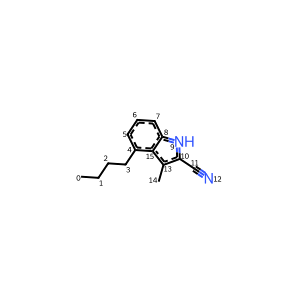 CCCCc1cccc2[nH]c(C#N)c(C)c12